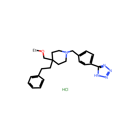 CCOCC1(CCc2ccccc2)CCN(Cc2ccc(-c3nnn[nH]3)cc2)CC1.Cl